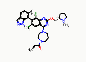 C=CC(=O)N1CCCN(c2nc(OC[C@@H]3CCCN3C)nc3c(F)c(-c4c(C)ccc5cnn(C)c45)c(Cl)cc23)CC1